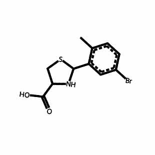 Cc1ccc(Br)cc1C1NC(C(=O)O)CS1